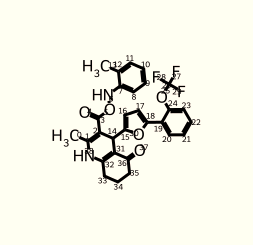 CC1=C(C(=O)ONc2ccccc2C)C(c2ccc(-c3ccccc3OC(F)(F)F)o2)C2=C(CCCC2=O)N1